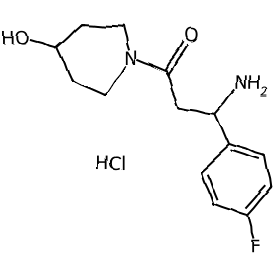 Cl.NC(CC(=O)N1CCC(O)CC1)c1ccc(F)cc1